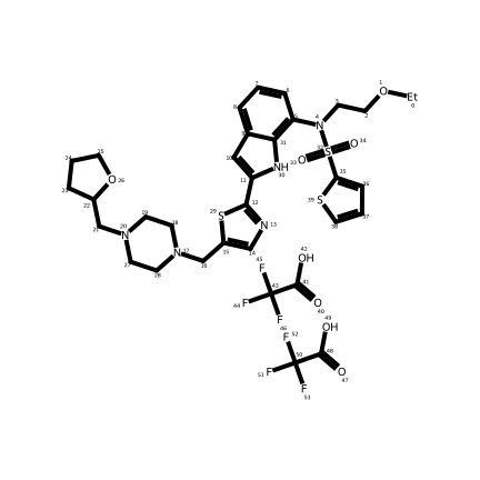 CCOCCN(c1cccc2cc(-c3ncc(CN4CCN(CC5CCCO5)CC4)s3)[nH]c12)S(=O)(=O)c1cccs1.O=C(O)C(F)(F)F.O=C(O)C(F)(F)F